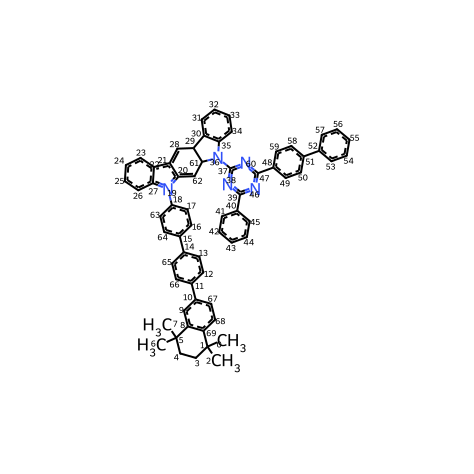 CC1(C)CCC(C)(C)c2cc(-c3ccc(-c4ccc(-n5c6c(c7ccccc75)=CC5c7ccccc7N(c7nc(-c8ccccc8)nc(-c8ccc(-c9ccccc9)cc8)n7)C5C=6)cc4)cc3)ccc21